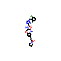 CN1C(=O)[C@@H](NC(=O)c2ncn(Cc3c(Cl)cccc3Cl)n2)COc2ccc(CCC(=O)N3CCCC3)cc21